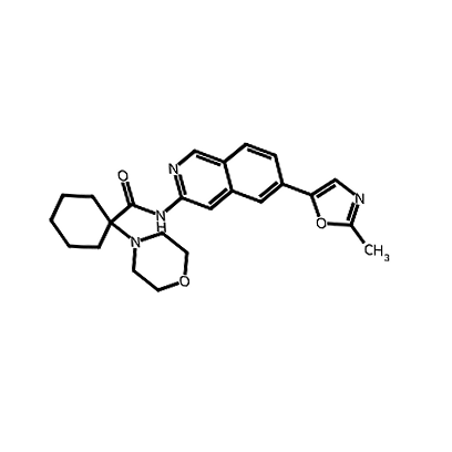 Cc1ncc(-c2ccc3cnc(NC(=O)C4(N5CCOCC5)CCCCC4)cc3c2)o1